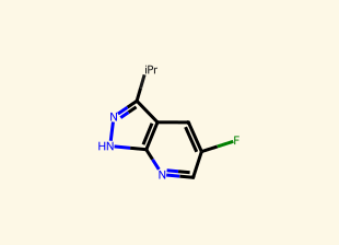 CC(C)c1n[nH]c2ncc(F)cc12